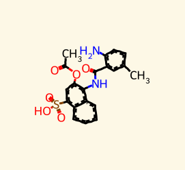 CC(=O)Oc1cc(S(=O)(=O)O)c2ccccc2c1NC(=O)c1cc(C)ccc1N